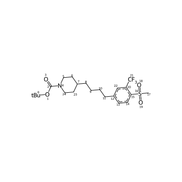 CC(C)(C)OC(=O)N1CCC(CCCCc2ccc(S(C)(=O)=O)c(C(F)(F)F)c2)CC1